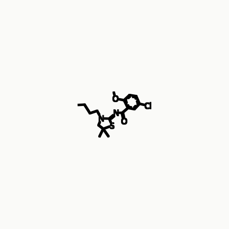 CCCCN1CC(C)(C)SC1=NC(=O)c1cc(Cl)ccc1OC